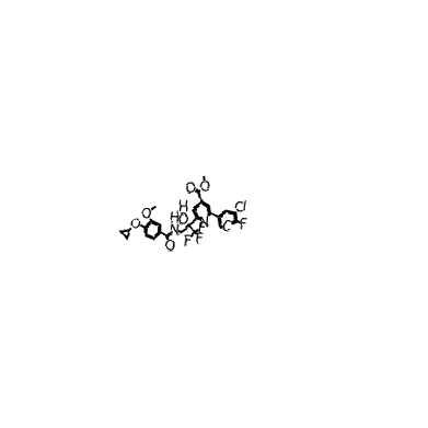 COC(=O)c1cc(-c2ccc(F)c(Cl)c2)nc(C(O)(CNC(=O)c2ccc(OC3CC3)c(OC)c2)C(F)(F)F)c1